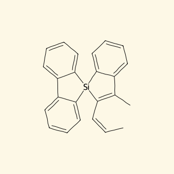 C/C=C\C1=C(C)c2ccccc2[Si]12c1ccccc1-c1ccccc12